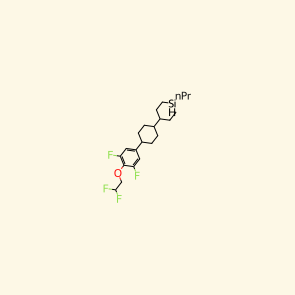 CCC[SiH]1CCC(C2CCC(c3cc(F)c(OCC(F)F)c(F)c3)CC2)CC1